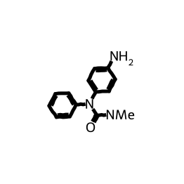 CNC(=O)N(c1ccccc1)c1ccc(N)cc1